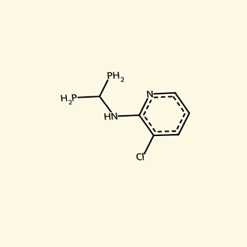 PC(P)Nc1ncccc1Cl